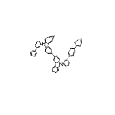 C1=CC2C(C=C1c1ccc3c(c1)c1ccccc1n3-c1cccc(-c3ccccc3)c1)c1ccccc1N2c1cccc(-c2ccc(-c3ccccc3)cc2)c1